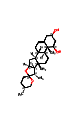 C[C@@H]1CC[C@@]2(OC1)O[C@H]1C[C@H]3[C@@H]4CC=C5C[C@@H](O)C[C@@H](O)[C@]5(C)[C@H]4CC[C@]3(C)[C@H]1[C@@H]2C